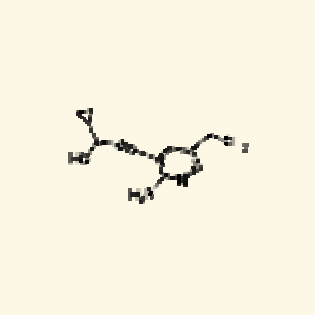 CCc1cnc(N)c(C#CC(O)C2CC2)c1